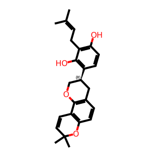 CC(C)=CCc1c(O)ccc([C@@H]2COc3c(ccc4c3C=CC(C)(C)O4)C2)c1O